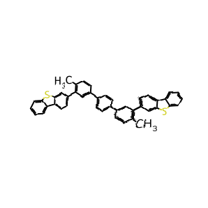 Cc1ccc(-c2ccc(-c3ccc(C)c(-c4ccc5c(c4)sc4ccccc45)c3)cc2)cc1-c1ccc2c(c1)sc1ccccc12